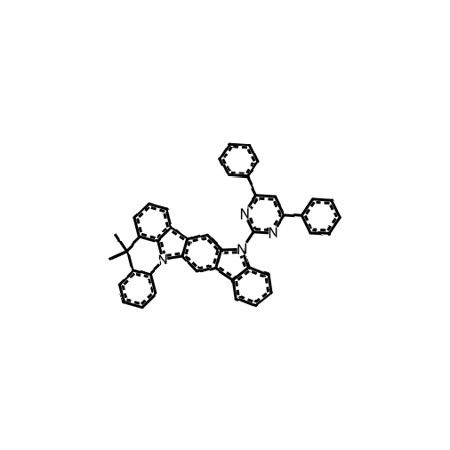 CC1(C)c2ccccc2-n2c3cc4c5ccccc5n(-c5nc(-c6ccccc6)cc(-c6ccccc6)n5)c4cc3c3cccc1c32